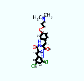 CN(C)CCCOc1ccc(/C=c2\[nH]c(=O)/c(=C/c3cc(Cl)cc(Cl)c3)[nH]c2=O)cc1